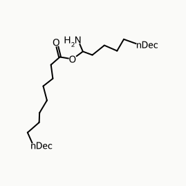 CCCCCCCCCCCCCCCCCC(=O)OC(N)CCCCCCCCCCCCCC